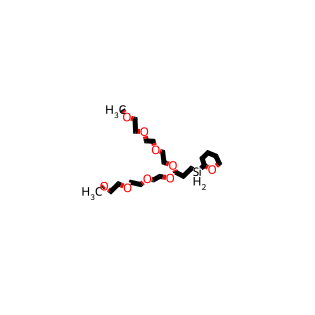 COCCOCCOCCOC(CC[SiH2]C1CCCCO1)OCCOCCOCCOC